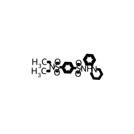 CCN(CC)S(=O)(=O)c1ccc(S(=O)(=O)Nc2ccccc2N2CCCCC2)cc1